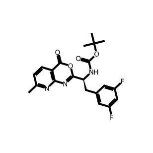 Cc1ccc2c(=O)oc([C@H](Cc3cc(F)cc(F)c3)NC(=O)OC(C)(C)C)nc2n1